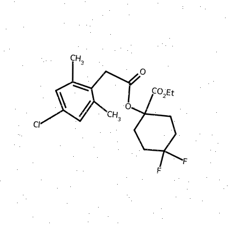 CCOC(=O)C1(OC(=O)Cc2c(C)cc(Cl)cc2C)CCC(F)(F)CC1